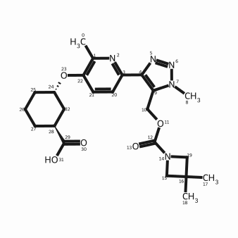 Cc1nc(-c2nnn(C)c2COC(=O)N2CC(C)(C)C2)ccc1O[C@H]1CCC[C@H](C(=O)O)C1